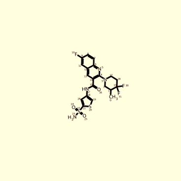 CC1CN(c2nc3ccc(F)cc3cc2C(=O)Nc2csc(S(N)(=O)=O)c2)CCC1(F)F